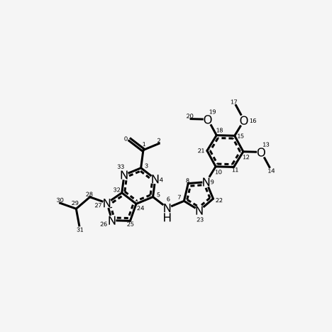 C=C(C)c1nc(Nc2cn(-c3cc(OC)c(OC)c(OC)c3)cn2)c2cnn(CC(C)C)c2n1